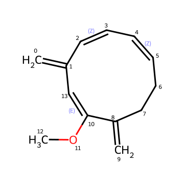 C=C1/C=C\C=C/CCC(=C)/C(OC)=C\1